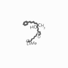 COC(=O)CCCCCCN1C(=O)CCC1C=C[C@@H](O)[C@@H](C)CCCCCc1ccccc1